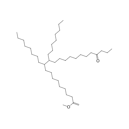 C=C(CCCCCCCCC(CCCCCCCC)C(CCCCCCCC)CCCCCCCCC(=O)CCC)OC